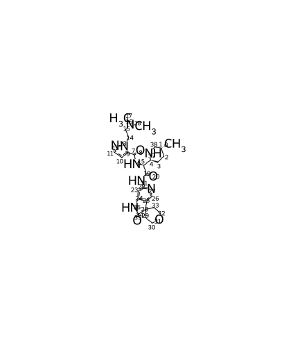 C[C@@H]1CC[C@@H]([C@H](NC(=O)c2ccnn2CCN(C)C)C(=O)Nc2cc3c(cn2)C2(CCOCC2)C(=O)N3)NC1